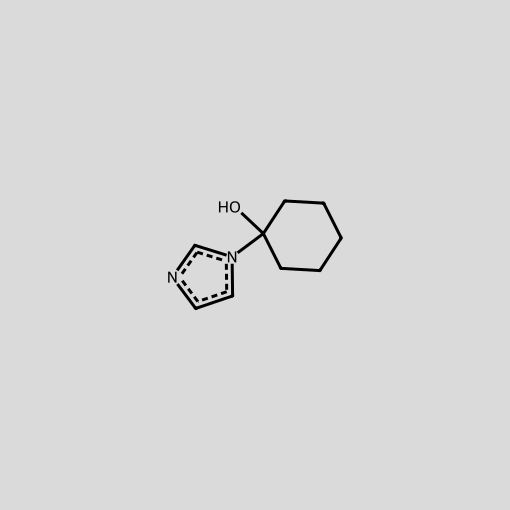 OC1(n2ccnc2)CCCCC1